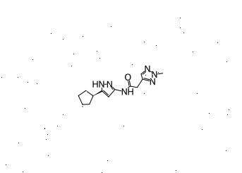 Cn1ncc(CC(=O)Nc2cc([C@H]3C[CH]CC3)[nH]n2)n1